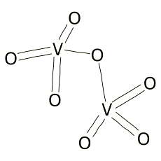 [O]=[V](=[O])(=[O])[O][V](=[O])(=[O])=[O]